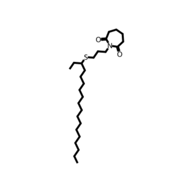 CCCCCCCCCCCCCCCC(CC)SCCCN1C(=O)CCCCC1=O